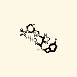 CS(=N)(=O)N1CCO[C@@H](CNc2nonc2/C(=N\O)NC2Cc3ccc(F)cc32)C1